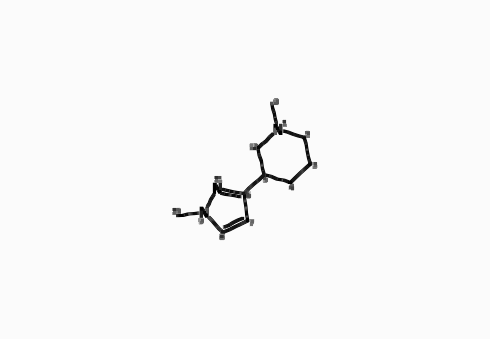 CN1CCCC(c2ccn(C)n2)C1